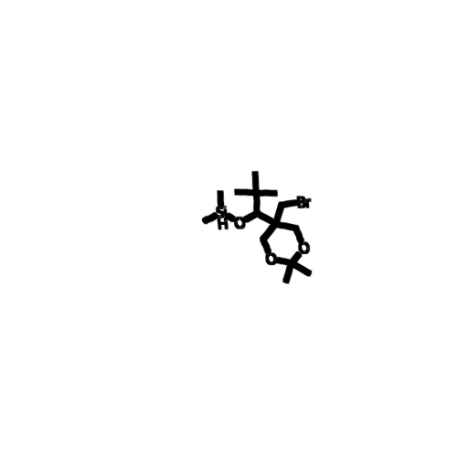 C[SiH](C)OC(C(C)(C)C)C1(CBr)COC(C)(C)OC1